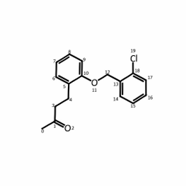 CC(=O)CCc1ccccc1OCc1ccccc1Cl